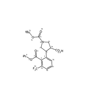 CC(C)OC(=O)c1c(C2CN(C(=O)OC(C)(C)C)CC2C(=O)O)cccc1C(F)(F)F